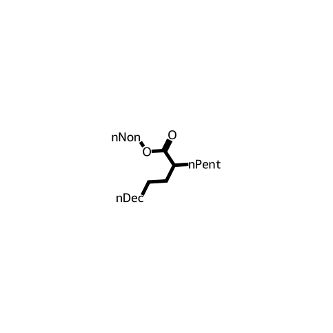 CCCCCCCCCCCCC(CCCCC)C(=O)OCCCCCCCCC